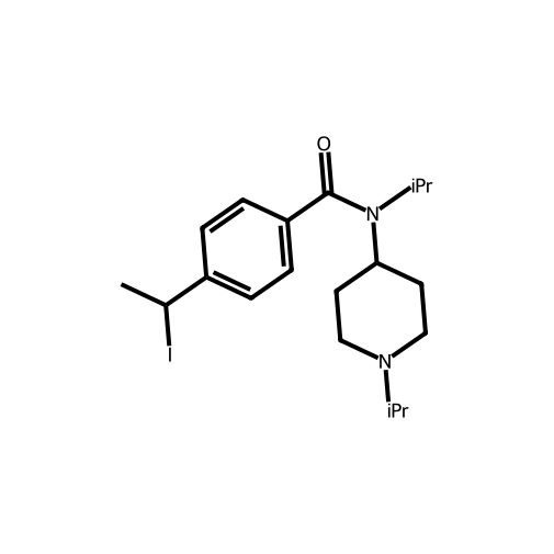 CC(I)c1ccc(C(=O)N(C(C)C)C2CCN(C(C)C)CC2)cc1